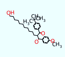 COc1ccc(C(=O)C(CCCCCCCCCCCO)C(=O)c2ccc(C(C)(C)C)cc2)cc1